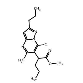 CCCc1cc2nc(C)c(C(CCC)C(=O)OC)c(Cl)n2n1